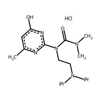 Cc1cc(O)nc(N(CCN(C(C)C)C(C)C)C(=O)N(C)C)n1.Cl